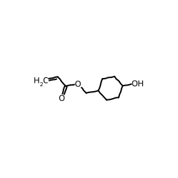 C=CC(=O)OCC1CCC(O)CC1